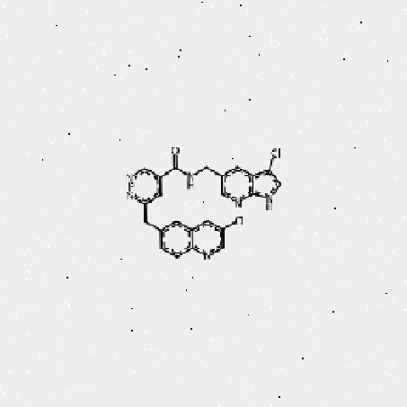 O=C(NCc1cnc2[nH]cc(Cl)c2c1)c1cnnc(Cc2ccc3ncc(Cl)cc3c2)c1